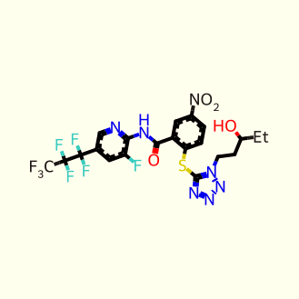 CCC(O)CCn1nnnc1Sc1ccc([N+](=O)[O-])cc1C(=O)Nc1ncc(C(F)(F)C(F)(F)C(F)(F)F)cc1F